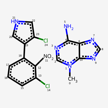 Cn1cnc(N)c2ncnc1-2.O=[N+]([O-])c1c(Cl)cccc1-c1c[nH]cc1Cl